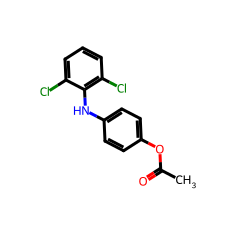 CC(=O)Oc1ccc(Nc2c(Cl)cccc2Cl)cc1